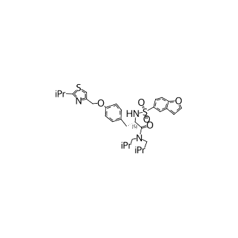 CC(C)CN(CC(C)C)C(=O)[C@H](Cc1ccc(OCc2csc(C(C)C)n2)cc1)NS(=O)(=O)c1ccc2occc2c1